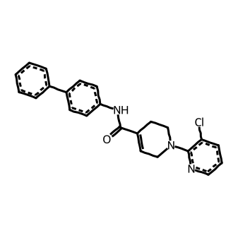 O=C(Nc1ccc(-c2ccccc2)cc1)C1=CCN(c2ncccc2Cl)CC1